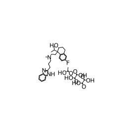 CC(=O)O.CC(C)C1(CCN(C)CCCc2nc3ccccc3[nH]2)c2ccc(F)cc2CCC1O.O=C(O)C(=O)O.O=C(O)C(=O)O